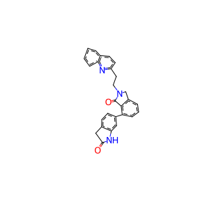 O=C1Cc2ccc(-c3cccc4c3C(=O)N(CCc3ccc5ccccc5n3)C4)cc2N1